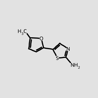 Cc1ccc(-c2cnc(N)s2)o1